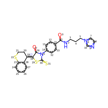 O=C(NCCCn1ccnc1)c1ccc(N2C(=O)/C(=C3\CCSc4ccccc43)SC2=S)cc1